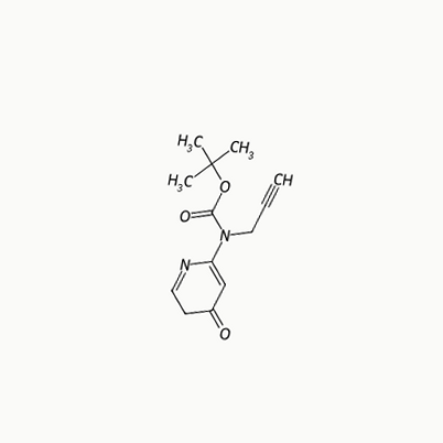 C#CCN(C(=O)OC(C)(C)C)C1=CC(=O)CC=N1